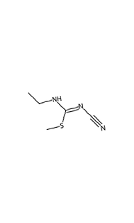 CCN/C(=N/C#N)SC